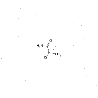 CN(S)C(N)=O